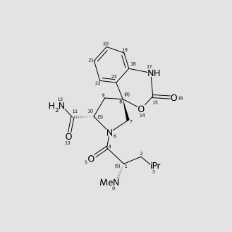 CN[C@@H](CC(C)C)C(=O)N1C[C@]2(C[C@H]1C(N)=O)OC(=O)Nc1ccccc12